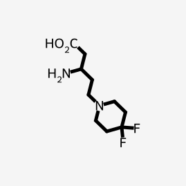 NC(CCN1CCC(F)(F)CC1)CC(=O)O